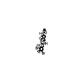 COc1c(Br)cc(C[C@H](Nc2nc3ccc(NC(=O)OC(C)(C)C)c(C)c3c(=O)o2)C(=O)O)cc1Br